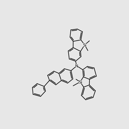 C[Si]1(C)c2ccccc2-c2ccc(N(c3ccc4cc(-c5ccccc5)ccc4c3)c3cccc4c3[Si](C)(C)c3ccccc3-4)cc21